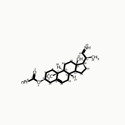 CCCC(=O)O[C@H]1CC[C@@]2(C)C(=CC[C@H]3C4CC[C@H]([C@H](C)C=N)[C@@]4(C)CC[C@@H]32)C1